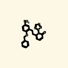 O=c1cccc(CCc2cc([N+](=O)[O-])ccc2OCc2ccccc2)n1-n1ncnn1